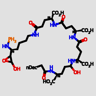 CCCCCCCCCCCC(=O)N[C@@H](CCC(O)N[C@@H](CCC(=O)N[C@@H](CCC(=O)N[C@@H](CCC(=O)NCCCC[C@H](NP)C1OC1O)C(=O)O)C(=O)O)C(=O)O)C(=O)O